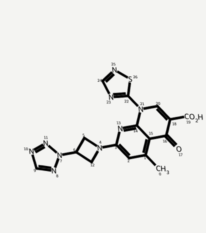 Cc1cc(N2CC(n3ncnn3)C2)nc2c1c(=O)c(C(=O)O)cn2-c1ncns1